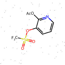 CC(=O)Oc1ncccc1OS(=O)(=O)C(F)(F)F